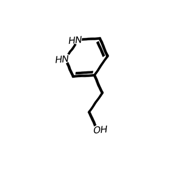 OCCC1=CNNC=C1